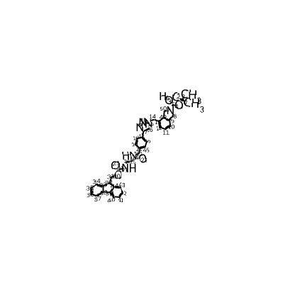 CC(C)(C)OC(=O)N1Cc2cccc(Cn3cc(-c4ccc(C(=O)NCCNC(=O)OCC5c6ccccc6-c6ccccc65)cc4)nn3)c2C1